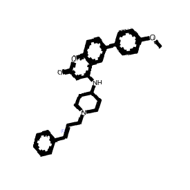 COc1ccc(-c2ccc3oc(=O)cc(NC4CCN(C/C=C/c5ccccc5)CC4)c3c2)cc1